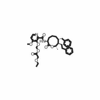 CCOCC(=O)OCOc1c(OC)ccnc1C(=O)N[C@H]1CCC[C@H](Cc2ccccc2)[C@@H](CCc2ccccc2)[C@H](C)OC1=O